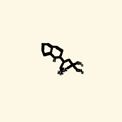 CCC(CC(C)(C)C)B1C=Cc2ccccc2N1